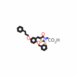 O=C(O)CN1C(=O)C(=Cc2cc(OCCCc3ccccc3)ccc2OCc2ccccc2)SC1=S